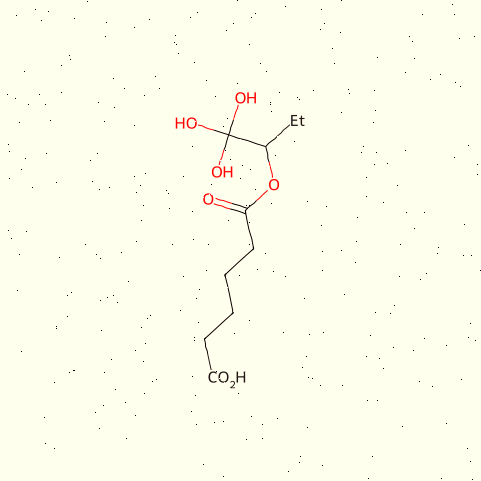 CCC(OC(=O)CCCCC(=O)O)C(O)(O)O